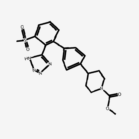 COC(=O)N1CCC(c2ccc(-c3cccc(S(C)(=O)=O)c3-c3nnn[nH]3)cc2)CC1